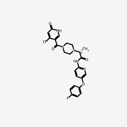 C[C@H](C(=O)Nc1ccc(Oc2ccc(F)cc2)cn1)N1CCN(C(=O)c2c[nH]c(=O)cc2Cl)CC1